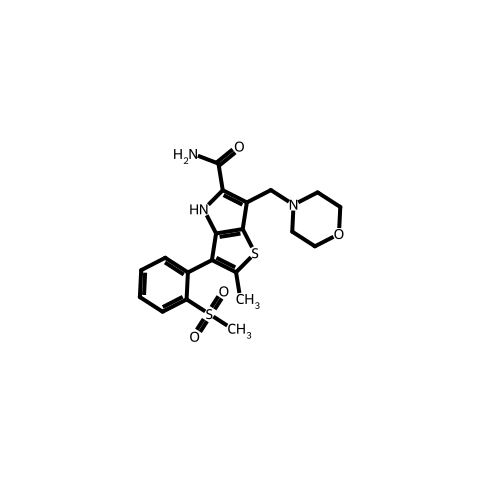 Cc1sc2c(CN3CCOCC3)c(C(N)=O)[nH]c2c1-c1ccccc1S(C)(=O)=O